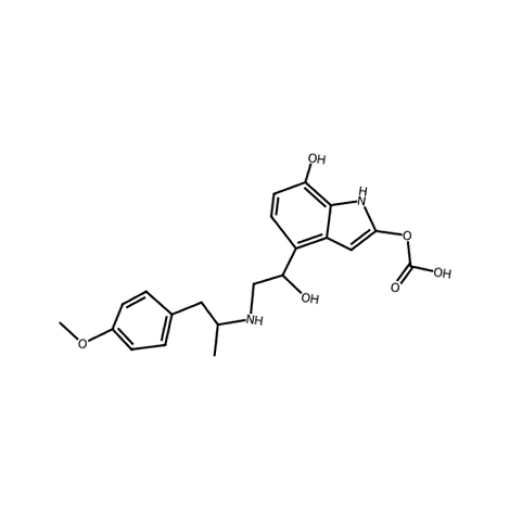 COc1ccc(CC(C)NCC(O)c2ccc(O)c3[nH]c(OC(=O)O)cc23)cc1